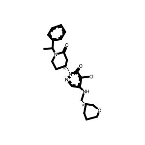 CC(c1ccccc1)N1CC[C@@H](n2ncc(NC[C@H]3CCCOC3)c(Cl)c2=O)CC1=O